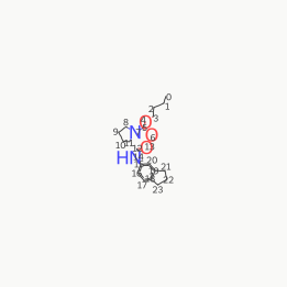 CCCCOC(=O)N1CCC[C@H]1C(=O)Nc1ccc2c(c1)CCC2